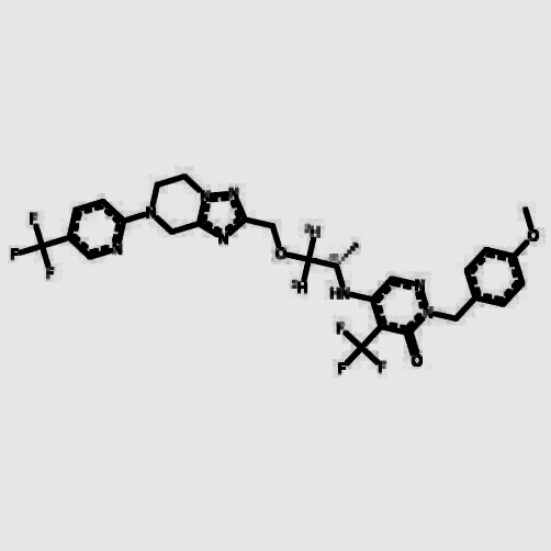 [2H]C([2H])(OCc1nc2n(n1)CCN(c1ccc(C(F)(F)F)cn1)C2)[C@H](C)Nc1cnn(Cc2ccc(OC)cc2)c(=O)c1C(F)(F)F